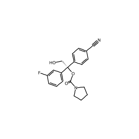 N#Cc1ccc([C@@](CO)(OC(=O)N2CCCC2)c2cccc(F)c2)cc1